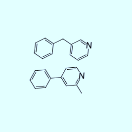 Cc1cc(-c2ccccc2)ccn1.c1ccc(Cc2cccnc2)cc1